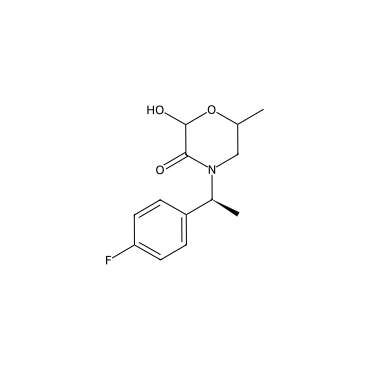 CC1CN([C@@H](C)c2ccc(F)cc2)C(=O)C(O)O1